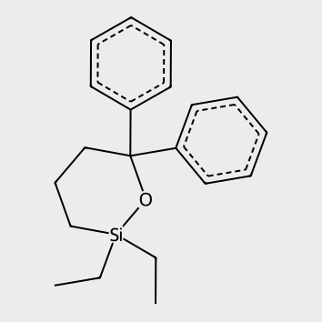 CC[Si]1(CC)CCCC(c2ccccc2)(c2ccccc2)O1